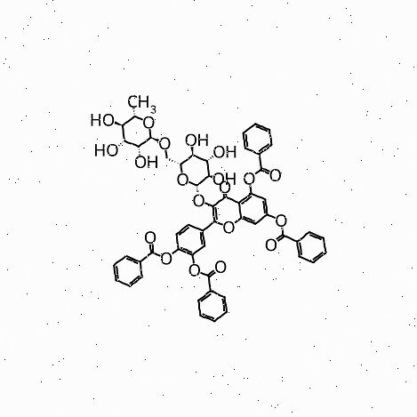 C[C@@H]1O[C@@H](OC[C@H]2O[C@@H](Oc3c(-c4ccc(OC(=O)c5ccccc5)c(OC(=O)c5ccccc5)c4)oc4cc(OC(=O)c5ccccc5)cc(OC(=O)c5ccccc5)c4c3=O)[C@H](O)[C@@H](O)[C@@H]2O)[C@H](O)[C@H](O)[C@H]1O